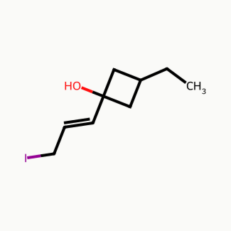 CCC1CC(O)(C=CCI)C1